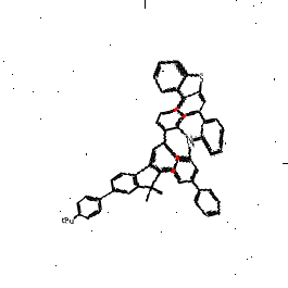 CC(C)(C)c1ccc(-c2ccc3c(c2)C(C)(C)c2ccc(-c4ccccc4N(c4cccc(-c5ccccc5)c4)c4ccccc4-c4ccc5c(c4)sc4ccccc45)cc2-3)cc1